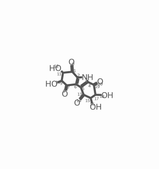 O=C1c2[nH]c3c(c2C(=O)C(O)C1O)C(=O)C(O)C(O)C3=O